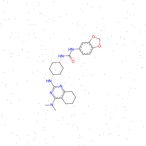 CN(C)c1nc(N[C@H]2CC[C@@H](NC(=O)Nc3ccc4c(c3)OCO4)CC2)nc2c1CCCC2